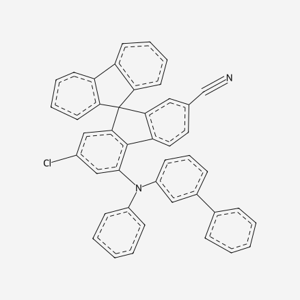 N#Cc1ccc2c(c1)C1(c3ccccc3-c3ccccc31)c1cc(Cl)cc(N(c3ccccc3)c3cccc(-c4ccccc4)c3)c1-2